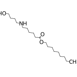 CCCCCCCCCOC(=O)CCCCCNCCCCO